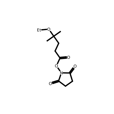 CCOC(C)(C)CCC(=O)ON1C(=O)CCC1=O